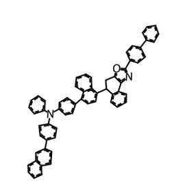 c1ccc(-c2ccc(-c3nc4c(o3)CC(c3ccc(-c5ccc(N(c6ccccc6)c6ccc(-c7ccc8ccccc8c7)cc6)cc5)c5ccccc35)c3ccccc3-4)cc2)cc1